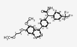 COCCOc1cc2ncnc(-c3ccc(C(C(N)=O)c4ccc(C(F)(F)F)cc4)cc3)c2cc1OC